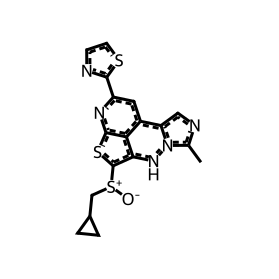 Cc1ncc2c3cc(-c4nccs4)nc4sc([S+]([O-])CC5CC5)c([nH]n12)c43